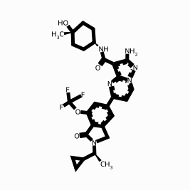 C[C@@H](C1CC1)N1Cc2cc(-c3ccn4nc(N)c(C(=O)N[C@H]5CC[C@@](C)(O)CC5)c4n3)cc(OC(F)(F)F)c2C1=O